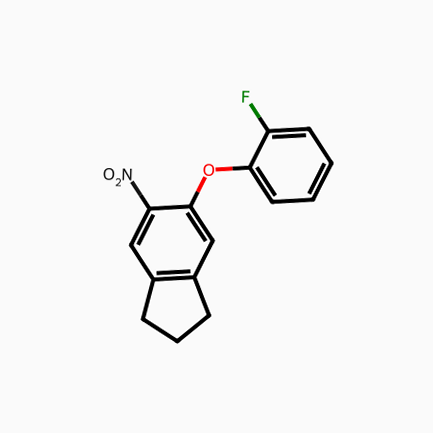 O=[N+]([O-])c1cc2c(cc1Oc1ccccc1F)CCC2